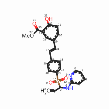 C=CC(Nc1ccccn1)S(=O)(=O)c1ccc(C=Cc2ccc(O)c(C(=O)OC)c2)cc1